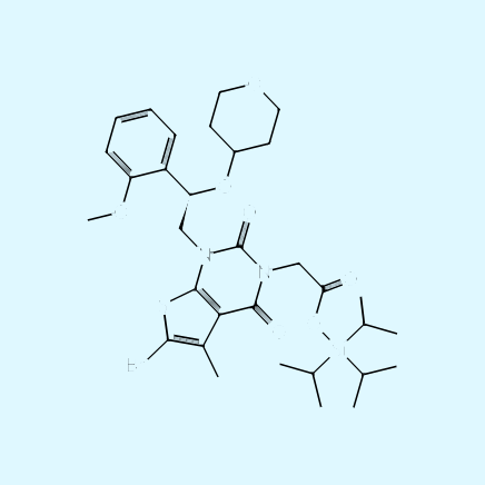 COc1ccccc1[C@H](Cn1c(=O)n(CC(=O)O[Si](C(C)C)(C(C)C)C(C)C)c(=O)c2c(C)c(Br)sc21)OC1CCOCC1